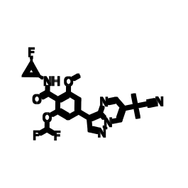 COc1cc(-c2cnn3cc(C(C)(C)C#N)cnc23)cc(OC(F)F)c1C(=O)N[C@@H]1C[C@@H]1F